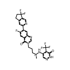 C[C@@H](CCCn1cnc2cc(-c3cc4c(cn3)C(F)(F)CC4)c(F)cc2c1=O)Nc1cn[nH]c(=O)c1C(F)(F)F